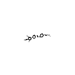 C=CC[C@H]1CC[C@H](/C=C/[C@H]2CC[C@H](c3cc(F)c(C#N)c(F)c3)CC2)CC1